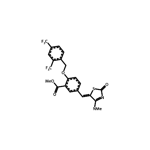 CNC1=NC(=O)S/C1=C\c1ccc(OCc2ccc(C(F)(F)F)cc2C(F)(F)F)c(C(=O)OC)c1